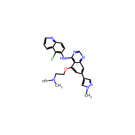 CCCN(C)CCOc1cc(-c2cnn(C)c2)cc2ncnc(Nc3ccc4ncccc4c3F)c12